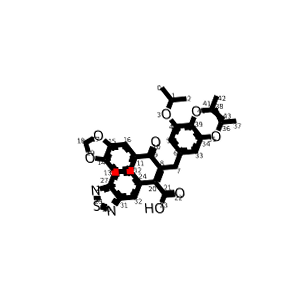 CC(C)Oc1cc(CC(C(=O)c2ccc3c(c2)OCO3)=C(C(=O)O)c2ccc3nsnc3c2)cc(OC(C)C)c1OC(C)C